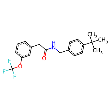 CC(C)(C)c1ccc(CNC(=O)Cc2cccc(OC(F)(F)F)c2)cc1